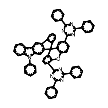 c1ccc(-c2nc(-c3ccccc3)nc(-c3ccc4c(c3)C3(c5ccccc5-c5cc6c7ccccc7n(-c7ccccc7)c6cc53)c3cccc(-c5nc(-c6ccccc6)nc(-c6ccccc6)n5)c3O4)n2)cc1